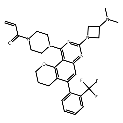 C=CC(=O)N1CCN(c2nc(N3CC(N(C)C)C3)nc3cc(-c4ccccc4C(F)(F)F)c4c(c23)OCCC4)CC1